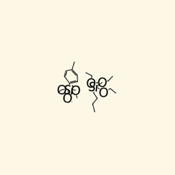 CCCC[Si](OCC)(OCC)OCC.CO[Si](OC)(OC)c1ccc(C)cc1